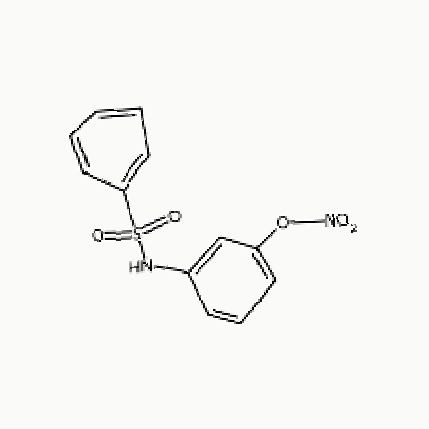 O=[N+]([O-])Oc1cccc(NS(=O)(=O)c2ccccc2)c1